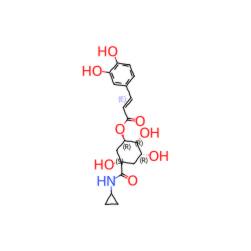 O=C(/C=C/c1ccc(O)c(O)c1)O[C@@H]1C[C@](O)(C(=O)NC2CC2)C[C@@H](O)[C@H]1O